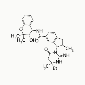 CC[C@]1(C)CC(=O)N([C@@H]2c3cc(C(=O)N[C@@H]4c5ccccc5OC(C)(C)[C@H]4O)ccc3C[C@H]2C)C(=N)N1